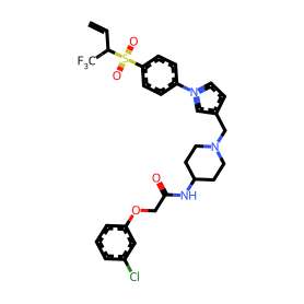 C=CC(C(F)(F)F)S(=O)(=O)c1ccc(-n2ccc(CN3CCC(NC(=O)COc4cccc(Cl)c4)CC3)c2)cc1